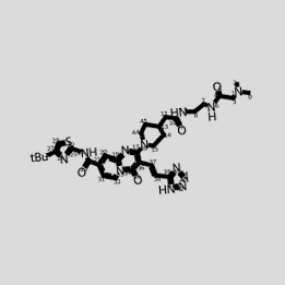 CN(C)CC(=O)NCCNC(=O)CC1CCN(c2nc3cc(C(=O)Nc4nc(C(C)(C)C)cs4)ccn3c(=O)c2C=Cc2nnn[nH]2)CC1